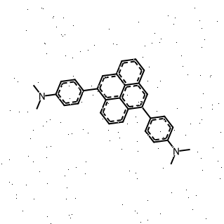 CN(C)c1ccc(-c2cc3cccc4cc(-c5ccc(N(C)C)cc5)c5cccc2c5c34)cc1